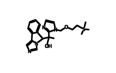 CC(O)(c1nccn1COCCS(C)(C)C)C1c2ccccc2-c2cncn21